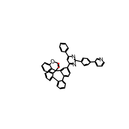 c1ccc(-c2cc(-c3ccc4c(c3)C3(c5ccccc5Oc5ccccc53)c3ccccc3-c3ccccc3-4)nc(-c3ccc(-c4cccnc4)cc3)n2)cc1